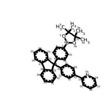 CC1(C)OB(c2ccc(C3(c4ccc(-c5ccccn5)cc4)c4ccccc4-c4ccccc43)cc2)OC1(C)C